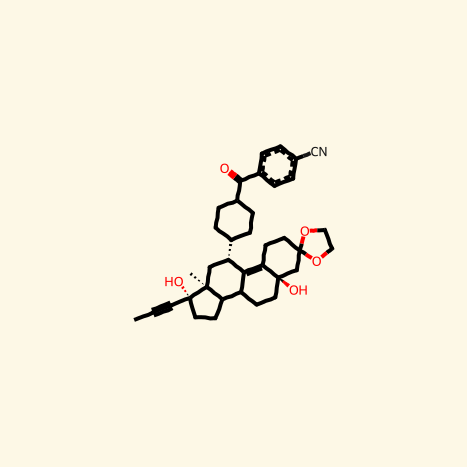 CC#C[C@]1(O)CCC2C3CC[C@@]4(O)CC5(CCC4=C3[C@@H](C3CCC(C(=O)c4ccc(C#N)cc4)CC3)C[C@@]21C)OCCO5